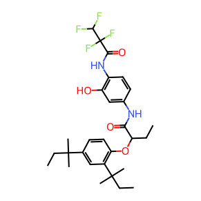 CCC(Oc1ccc(C(C)(C)CC)cc1C(C)(C)CC)C(=O)Nc1ccc(NC(=O)C(F)(F)C(F)F)c(O)c1